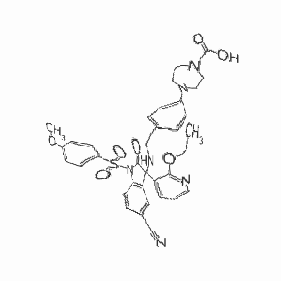 CCOc1ncccc1C1(NCc2ccc(N3CCN(C(=O)O)CC3)cc2)C(=O)N(S(=O)(=O)c2ccc(OC)cc2)c2ccc(C#N)cc21